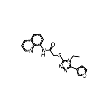 CCn1c(SCC(=O)Nc2cccc3cccnc23)nnc1-c1ccoc1